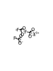 O=C([O-])F.O=C([O-])F.O=C([O-])F.[Y+3]